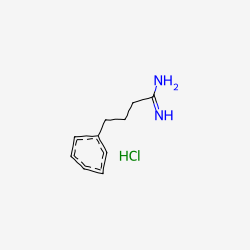 Cl.N=C(N)CCCc1ccccc1